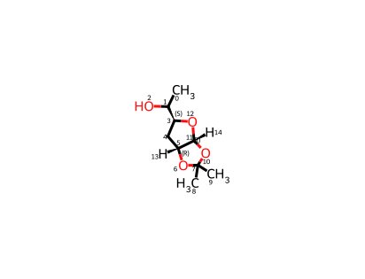 CC(O)[C@@H]1C[C@H]2OC(C)(C)O[C@H]2O1